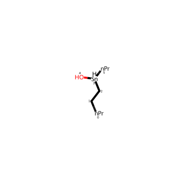 CCCC[CH2][SnH]([OH])[CH2]CC